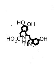 O=C(O)C1Cc2cc(O)c(O)cc2C(Cc2c[nH]c3ccc(O)cc23)N1